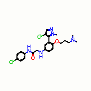 CN(C)CCCOc1ccc(NCC(=O)Nc2ccc(Cl)cc2)cc1-c1c(Cl)cnn1C